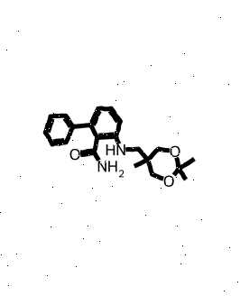 CC1(CNc2cccc(-c3ccccc3)c2C(N)=O)COC(C)(C)OC1